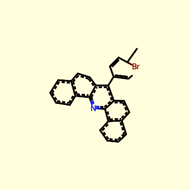 C/C=C(\C=C/C(C)Br)c1c2ccc3ccccc3c2nc2c1ccc1ccccc12